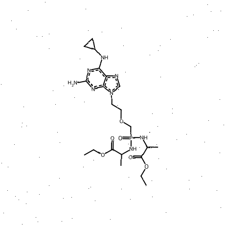 CCOC(=O)C(C)NP(=O)(COCCn1cnc2c(NC3CC3)nc(N)nc21)NC(C)C(=O)OCC